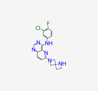 Fc1ccc(Nc2ncnc3ccc(N4CC5(CCN5)C4)nc23)cc1Cl